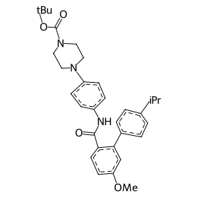 COc1ccc(C(=O)Nc2ccc(N3CCN(C(=O)OC(C)(C)C)CC3)cc2)c(-c2ccc(C(C)C)cc2)c1